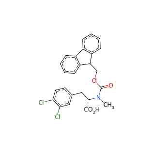 CN(C(=O)OCC1c2ccccc2-c2ccccc21)[C@@H](Cc1ccc(Cl)c(Cl)c1)C(=O)O